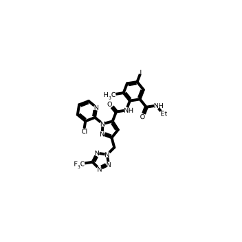 CCNC(=O)c1cc(I)cc(C)c1NC(=O)c1cc(Cn2nnc(C(F)(F)F)n2)nn1-c1ncccc1Cl